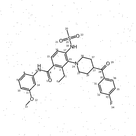 CCc1c(C(=O)Nc2cccc(OC)c2)ccc(NS(C)(=O)=O)c1N1CCC(C(=O)c2ccc(F)cc2)CC1